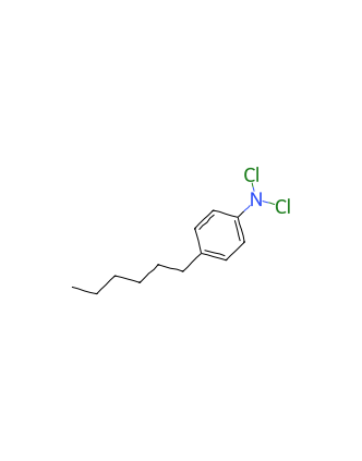 CCCCCCc1ccc(N(Cl)Cl)cc1